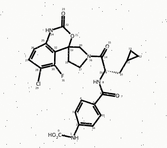 O=C(O)Nc1ccc(C(=O)N[C@@H](CC2CC2)C(=O)N2CCC3(C2)OC(=O)Nc2ccc(Cl)c(F)c23)cc1